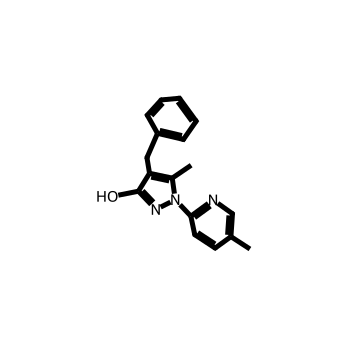 Cc1ccc(-n2nc(O)c(Cc3ccccc3)c2C)nc1